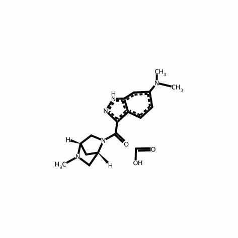 CN(C)c1ccc2c(C(=O)N3C[C@@H]4C[C@H]3CN4C)n[nH]c2c1.O=CO